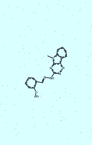 CCCOc1ccccc1/C=N/Nc1nnc2c3ccccc3n(C)c2n1